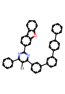 CCc1c(-c2ccccc2)nc(-c2ccc3c(c2)oc2ccccc23)nc1-c1cccc(-c2cccc(-c3ccc(-c4ccccc4)cc3)c2)c1